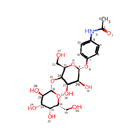 CC(=O)Nc1ccc(O[C@H]2O[C@H](CO)C(O[C@@H]3O[C@H](CO)[C@H](O)[C@H](O)[C@H]3O)[C@H](O)[C@@H]2O)cc1